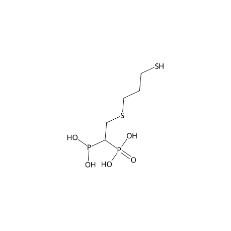 O=P(O)(O)C(CSCCCS)P(O)O